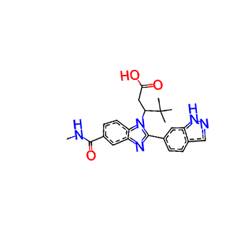 CNC(=O)c1ccc2c(c1)nc(-c1ccc3cn[nH]c3c1)n2C(CC(=O)O)C(C)(C)C